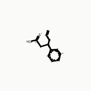 C=CCC(CC(O)=S)c1ccccc1